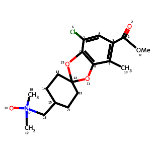 COC(=O)c1cc(Cl)c2c(c1C)OC1(CCC(C[N+](C)(C)[O-])CC1)O2